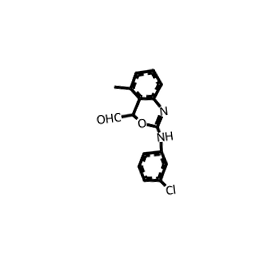 Cc1cccc2c1C(C=O)OC(Nc1cccc(Cl)c1)=N2